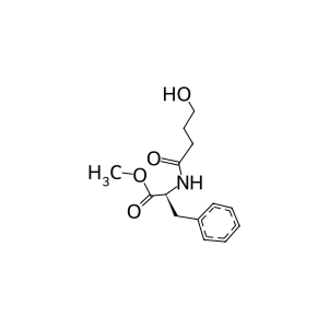 COC(=O)[C@H](Cc1ccccc1)NC(=O)CCCO